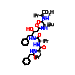 CC[C@H](C)[C@H](NC(=O)CC(O)C(Cc1ccccc1)NC(=O)[C@@H](NC(=O)[C@H](CC(C)C)NC(=O)Cc1ccccc1)C(C)C)C(=O)N[C@H](C(=O)O)C(C)C